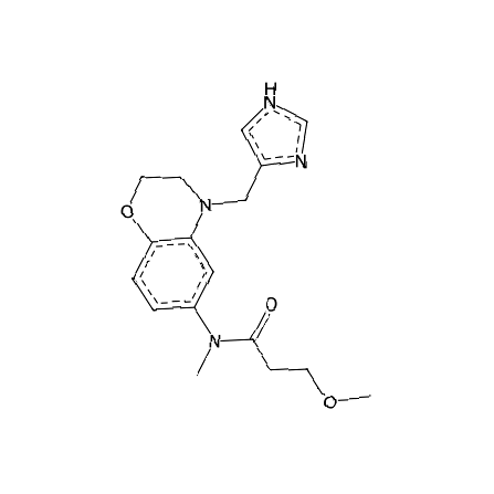 COCCC(=O)N(C)c1ccc2c(c1)N(Cc1c[nH]cn1)CCO2